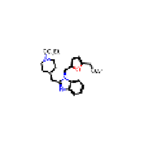 CCOC(=O)N1CCC(Cc2nc3ccccc3n2Cc2ccc(COC(C)=O)o2)CC1